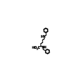 O=C(O)C(CCCCNCc1ccccc1)NCc1ccccc1